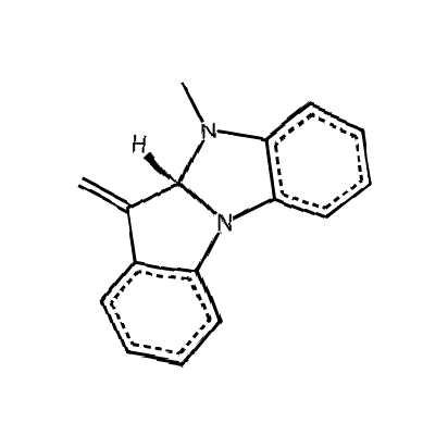 C=C1c2ccccc2N2c3ccccc3N(C)[C@@H]12